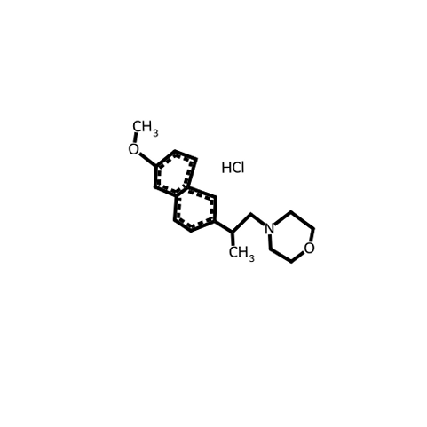 COc1ccc2cc(C(C)CN3CCOCC3)ccc2c1.Cl